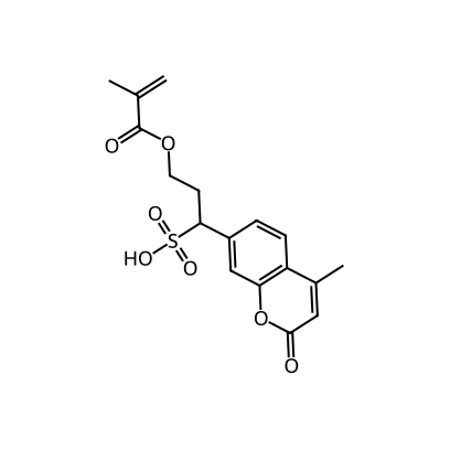 C=C(C)C(=O)OCCC(c1ccc2c(C)cc(=O)oc2c1)S(=O)(=O)O